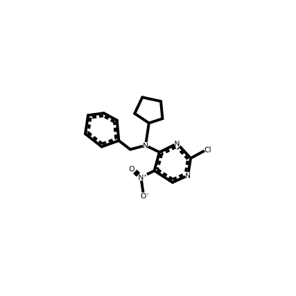 O=[N+]([O-])c1cnc(Cl)nc1N(Cc1ccccc1)C1CCCC1